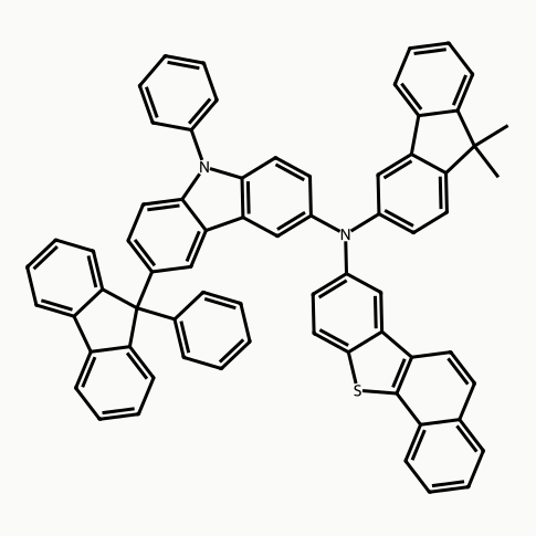 CC1(C)c2ccccc2-c2cc(N(c3ccc4sc5c6ccccc6ccc5c4c3)c3ccc4c(c3)c3cc(C5(c6ccccc6)c6ccccc6-c6ccccc65)ccc3n4-c3ccccc3)ccc21